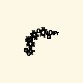 CC(C)OC(=O)N1CCC(Oc2ccc(-n3ccc4cc(N5CCOC5=O)ccc43)nc2)CC1